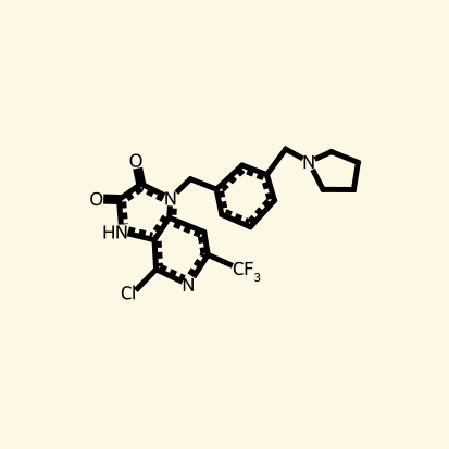 O=c1[nH]c2c(Cl)nc(C(F)(F)F)cc2n(Cc2cccc(CN3CCCC3)c2)c1=O